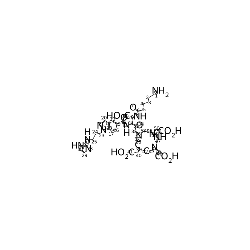 NCCCCCC(=O)NC(C(=O)O)C(NC(=O)c1ccc2c(cnn2CCCNc2ncc[nH]2)c1)C(=O)CN1CCC(CC(=O)O)CCN(CC(=O)O)CNN(CC(=O)O)CC1